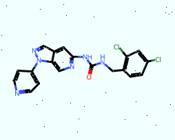 O=C(NCc1ccc(Cl)cc1Cl)Nc1cc2cnn(-c3ccncc3)c2cn1